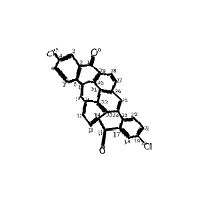 O=c1c2cc(Cl)ccc2c2cc3ccc4c(=O)c5cc(Cl)ccc5c5cc6ccc1c2c6c3c45